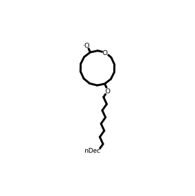 [CH2]CCCCCCCCCCCCCCCCCOC1CCCCCCC([O])COCCCC1